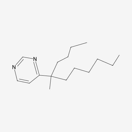 CCCCCCC(C)(CCCC)c1ccncn1